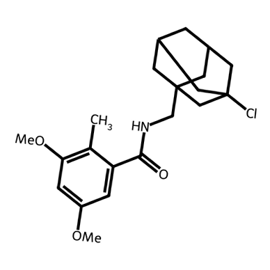 COc1cc(OC)c(C)c(C(=O)NCC23CC4CC(CC(Cl)(C4)C2)C3)c1